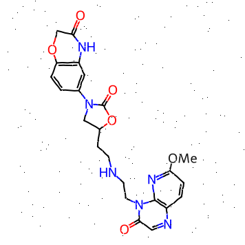 COc1ccc2ncc(=O)n(CCNCCC3CN(c4ccc5c(c4)NC(=O)CO5)C(=O)O3)c2n1